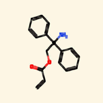 C=CC(=O)OC[Si](N)(c1ccccc1)c1ccccc1